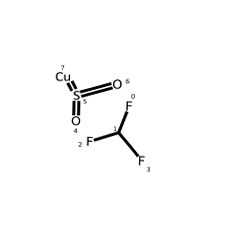 FC(F)F.O=[S](=O)=[Cu]